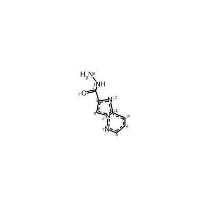 NNC(=O)c1cn2ncccc2n1